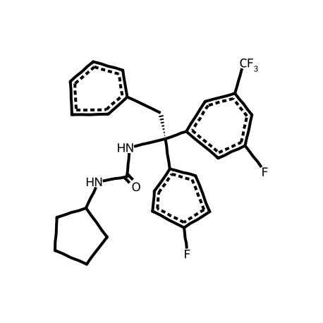 O=C(NC1CCCC1)N[C@](Cc1ccccc1)(c1ccc(F)cc1)c1cc(F)cc(C(F)(F)F)c1